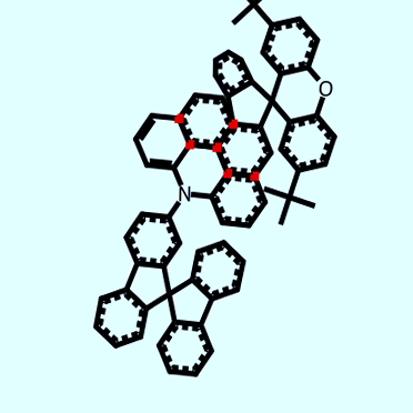 CC(C)(C)c1ccc2c(c1)C1(c3cc(C(C)(C)C)ccc3O2)c2ccccc2-c2c(C3CC=CC=C3N(c3ccc4c(c3)C3(c5ccccc5-c5ccccc53)c3ccccc3-4)c3ccccc3-c3ccccc3)cccc21